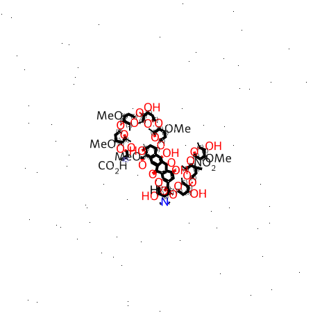 COC(=O)[C@@H]1c2cc3c(c(O)c2[C@@H](O[C@H]2C[C@H](OC)[C@H](O[C@H]4C[C@H](O)[C@H](O[C@H]5C[C@H](OC)[C@H](O[C@H]6C[C@H](OC)[C@H](OC(=O)/C=C/C(=O)O)[C@H](C)O6)[C@H](C)O5)[C@H](C)O4)[C@H](C)O2)C[C@]1(C)O)C(=O)c1c(O)cc2c(c1C3=O)O[C@H]1O[C@]2(C)[C@@H](O[C@H]2C[C@H](O)[C@H](O[C@@H]3C[C@@](C)([N+](=O)[O-])[C@@H](O[C@H]4C[C@H](OC)[C@H](O)[C@H](C)O4)[C@H](C)O3)[C@H](C)O2)[C@@H](N(C)C)[C@@H]1O